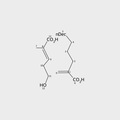 C=C(CCCCCCCCCCCCC)C(=O)O.CC(=CCCO)C(=O)O